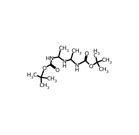 CC(NC(=O)OC(C)(C)C)NC(C)NC(=O)OC(C)(C)C